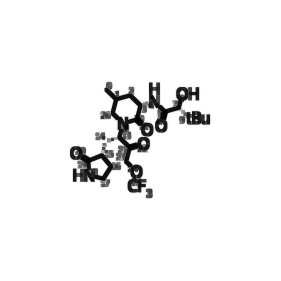 CC1C[C@H](NC(=O)[C@H](O)C(C)(C)C)C(=O)N([C@@H](C[C@@H]2CCNC2=O)C(=O)COC(F)(F)F)C1